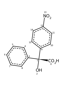 O=C(O)[C@@](O)(c1ccccc1)c1ccc([N+](=O)[O-])cc1